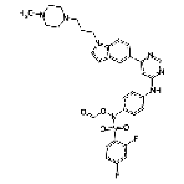 CN1CCN(CCCn2ccc3cc(-c4cc(Nc5ccc(N(OC=O)S(=O)(=O)c6ccc(F)cc6F)cc5)ncn4)ccc32)CC1